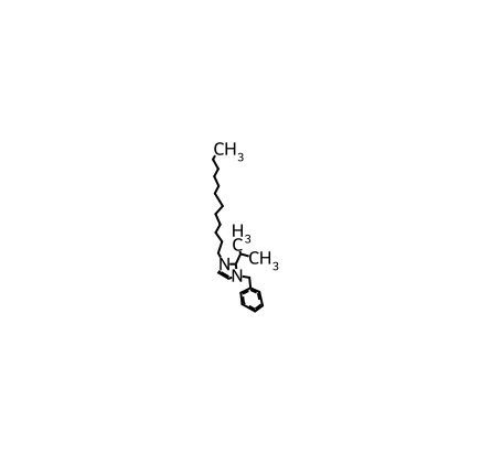 CCCCCCCCCCCCN1C=CN(Cc2ccccc2)C1C(C)C